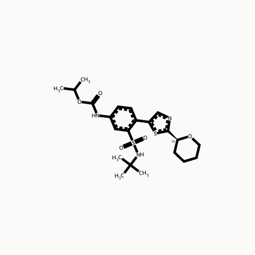 CC(C)OC(=O)Nc1ccc(-c2cnc([C@@H]3CCCCO3)s2)c(S(=O)(=O)NC(C)(C)C)c1